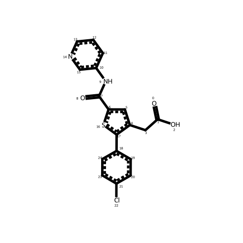 O=C(O)Cc1cc(C(=O)Nc2cccnc2)sc1-c1ccc(Cl)cc1